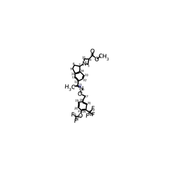 COC(=O)C1CN(C2CCc3cc(/C(C)=N/OCc4ccc(OC(F)F)c(C(F)(F)F)c4)ccc32)C1